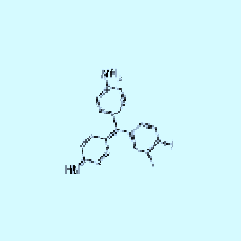 Cc1cc(C(=C2C=CC(=N)C=C2)c2ccc(N)cc2)ccc1I